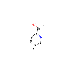 Cc1ccc([C@@H](C)O)nc1